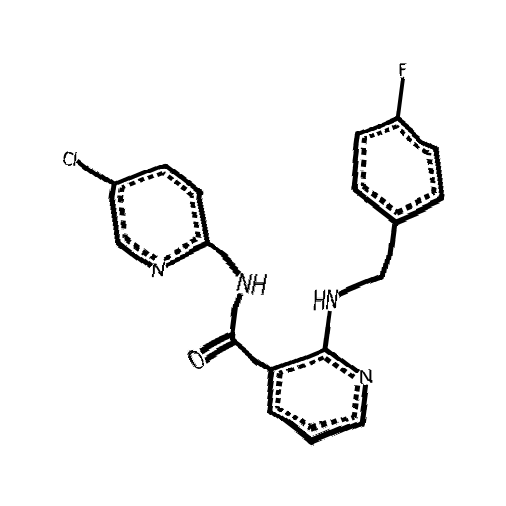 O=C(Nc1ccc(Cl)cn1)c1cccnc1NCc1ccc(F)cc1